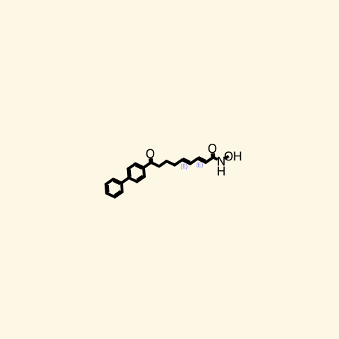 O=C(/C=C/C=C/CCCC(=O)c1ccc(-c2ccccc2)cc1)NO